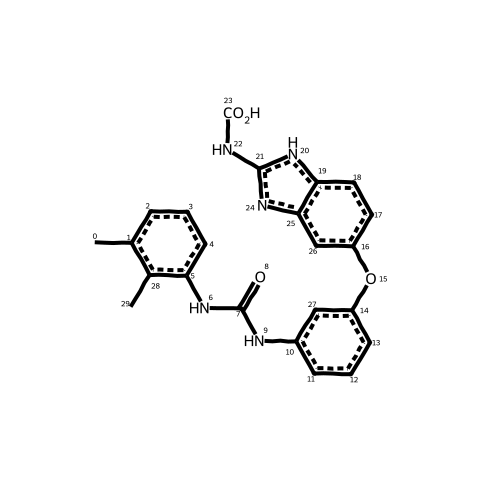 Cc1cccc(NC(=O)Nc2cccc(Oc3ccc4[nH]c(NC(=O)O)nc4c3)c2)c1C